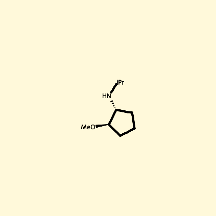 CO[C@@H]1CCC[C@H]1NC(C)C